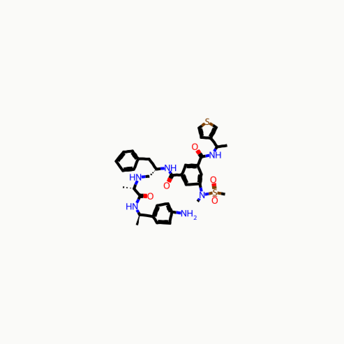 CC(NC(=O)c1cc(C(=O)N[C@H](CN[C@@H](C)C(=O)N[C@H](C)c2ccc(N)cc2)Cc2ccccc2)cc(N(C)S(C)(=O)=O)c1)c1ccsc1